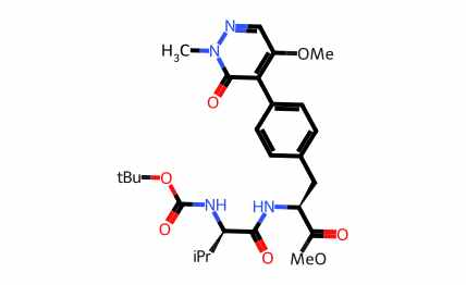 COC(=O)[C@H](Cc1ccc(-c2c(OC)cnn(C)c2=O)cc1)NC(=O)[C@H](NC(=O)OC(C)(C)C)C(C)C